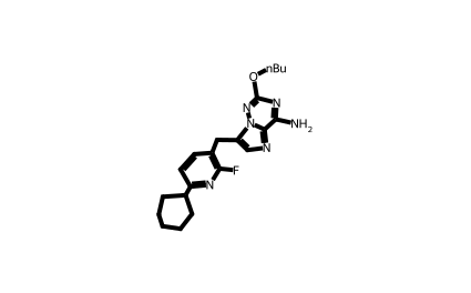 CCCCOc1nc(N)c2ncc(Cc3ccc(C4CCCCC4)nc3F)n2n1